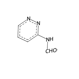 O=[C]Nc1cccnn1